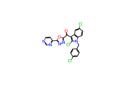 O=C(c1nnc(-c2ccncn2)o1)c1c(Cl)n(Cc2ccc(Cl)cc2)c2ccc(Cl)cc12